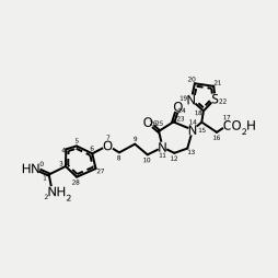 N=C(N)c1ccc(OCCCN2CCN(C(CC(=O)O)c3nccs3)C(=O)C2=O)cc1